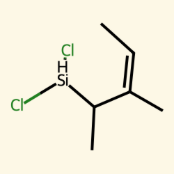 CC=C(C)C(C)[SiH](Cl)Cl